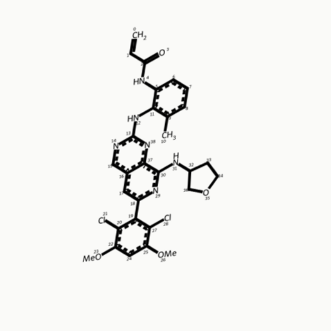 C=CC(=O)Nc1cccc(C)c1Nc1ncc2cc(-c3c(Cl)c(OC)cc(OC)c3Cl)nc(NC3CCOC3)c2n1